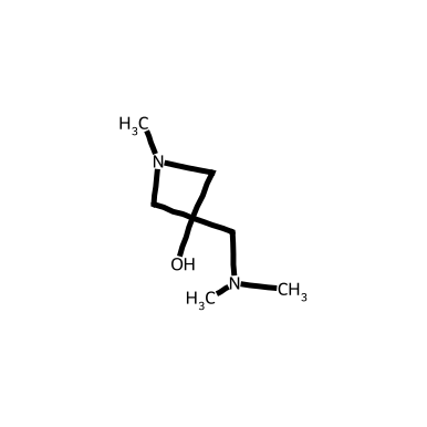 CN(C)CC1(O)CN(C)C1